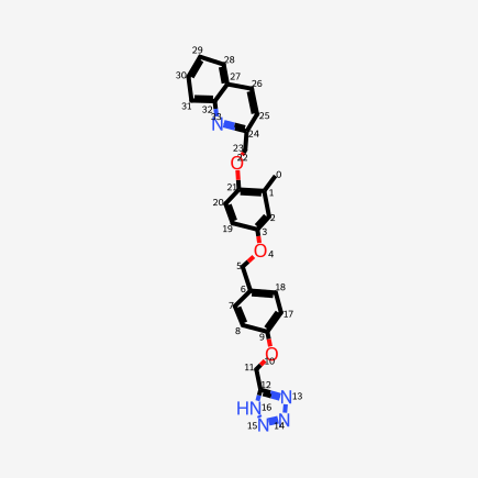 Cc1cc(OCc2ccc(OCc3nnn[nH]3)cc2)ccc1OCc1ccc2ccccc2n1